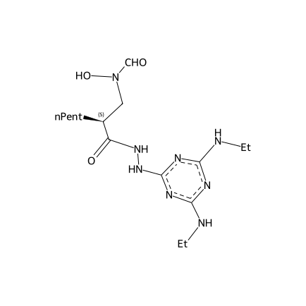 CCCCC[C@@H](CN(O)C=O)C(=O)NNc1nc(NCC)nc(NCC)n1